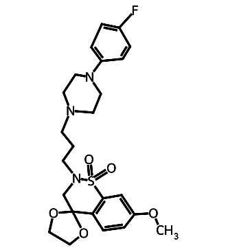 COc1ccc2c(c1)S(=O)(=O)N(CCCN1CCN(c3ccc(F)cc3)CC1)CC21OCCO1